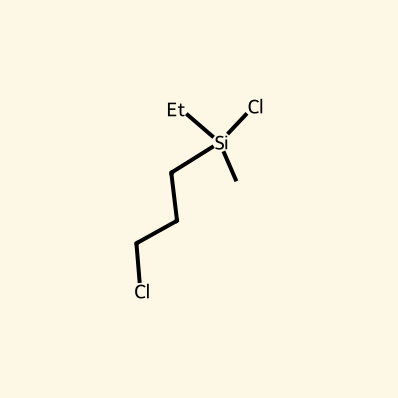 CC[Si](C)(Cl)CCCCl